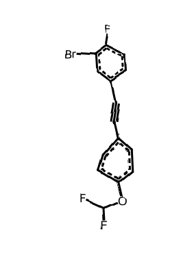 Fc1ccc(C#Cc2ccc(OC(F)F)cc2)cc1Br